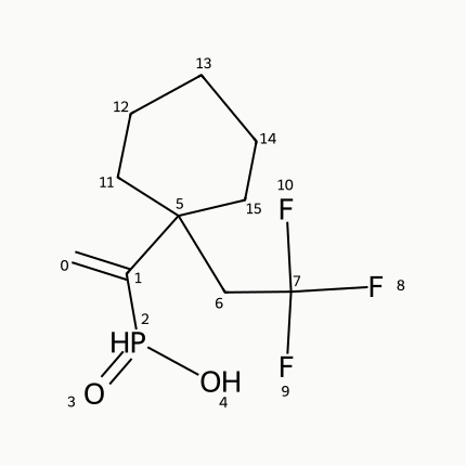 C=C([PH](=O)O)C1(CC(F)(F)F)CCCCC1